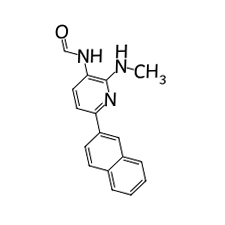 CNc1nc(-c2ccc3ccccc3c2)ccc1NC=O